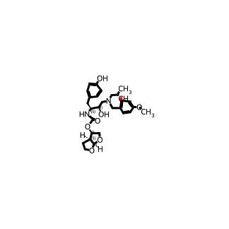 COc1ccc(CN(CC(C)C)C[C@@H](O)[C@H](Cc2ccc(O)cc2)NC(=O)O[C@H]2CO[C@H]3OCC[C@H]32)cc1